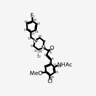 COc1cc(C=CC(=O)N2CCN(Cc3ccc(F)cc3)C[C@H]2C)c(NC(C)=O)cc1Cl